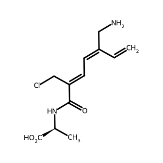 C=C/C(=C\C=C(/CCl)C(=O)N[C@@H](C)C(=O)O)CN